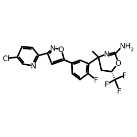 CC1(c2cc(-c3cc(-c4ccc(Cl)cn4)no3)ccc2F)C[C@@H](C(F)(F)F)OC(N)=N1